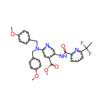 COC(=O)c1cc(N(Cc2ccc(OC)cc2)Cc2ccc(OC)cc2)ncc1NC(=O)c1cccc(C(C)(F)F)n1